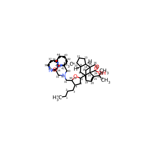 CCCCC1CC(C23C[C@@H]4[C@H](C)CC[C@H]4C4(C=O)CC2C=C(C(C)C)C34C(=O)O)OC1CN(Cc1ccccn1)Cc1cccc[n+]1[O-]